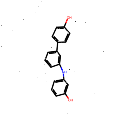 Oc1ccc(-c2cccc(Nc3cccc(O)c3)c2)cc1